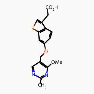 COc1nc(C)ncc1COc1ccc2c(CC(=O)O)csc2c1